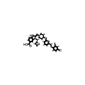 O=C(O)c1ccc2c(c1)N(C[C@@H]1CCO1)C(=CN1CCC(Oc3cccc(CSc4ccc(Cl)cc4F)n3)CC1)N2